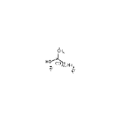 CC(O)C(=O)O.[AlH3].[Zn].[Zr]